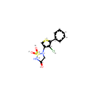 O=C1CN(c2csc(-c3ccccc3)c2Cl)S(=O)(=O)N1